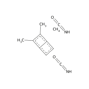 C.Cc1c2ccc-2c1C.N=C=O.N=C=O